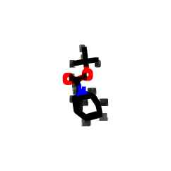 CC(C)(C)OC(=O)N1CC2C=CCC1C2